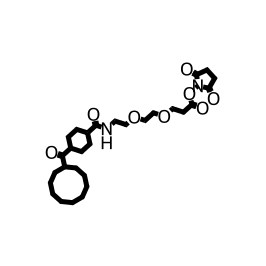 O=C(CCOCCOCCNC(=O)C1CCC(C(=O)C2CCCCCCCCC2)CC1)ON1C(=O)CCC1=O